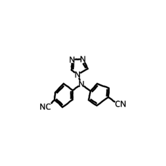 N#Cc1ccc(N(c2ccc(C#N)cc2)n2cnnc2)cc1